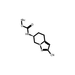 CC(C)(C)OC(=O)N[C@H]1CCc2cc(C#N)nn2C1